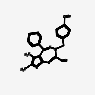 COc1ccc(CN2N=C(c3ccccc3)c3c(sc(C)c3C)N=C2SC)cc1